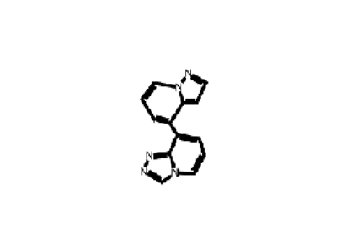 [c]1ccn2nccc2c1-c1cccn2cnnc12